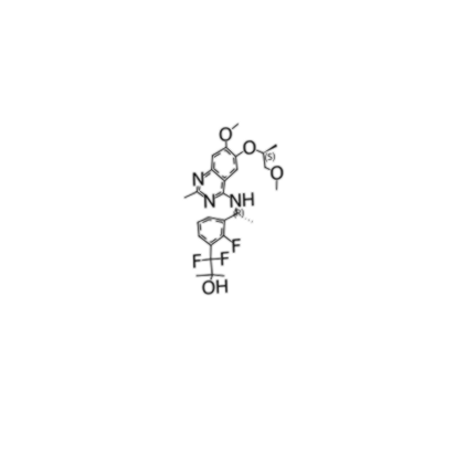 COC[C@H](C)Oc1cc2c(N[C@H](C)c3cccc(C(F)(F)C(C)(C)O)c3F)nc(C)nc2cc1OC